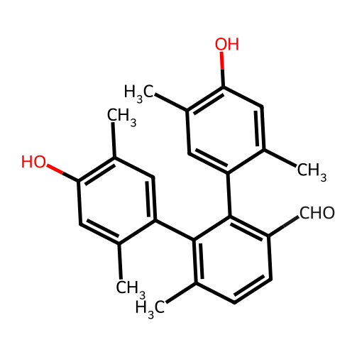 Cc1cc(-c2c(C)ccc(C=O)c2-c2cc(C)c(O)cc2C)c(C)cc1O